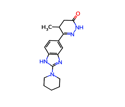 CC1CC(=O)NN=C1c1ccc2[nH]c(N3CCCCC3)nc2c1